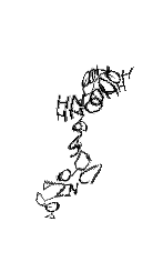 O=C(NCCOCCSc1ccc(Cl)c(COC2(c3cnccc3-c3ccccc3OC3CC3)CC2)c1)NC(CO)C(O)C(O)C(O)CO